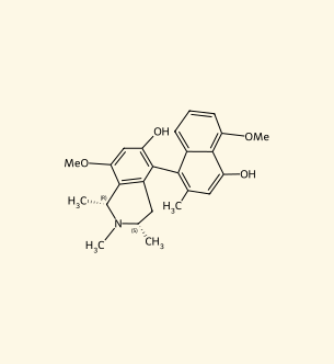 COc1cc(O)c(-c2c(C)cc(O)c3c(OC)cccc23)c2c1[C@@H](C)N(C)[C@@H](C)C2